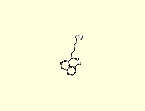 CCc1cccc2cccc(C(=O)CCCCC(=O)O)c12